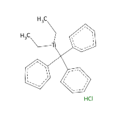 C[CH2][Ti]([CH2]C)[C](c1ccccc1)(c1ccccc1)c1ccccc1.Cl